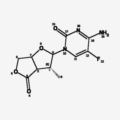 C[C@@H]1C2C(=O)OCC2OC1n1cc(F)c(N)nc1=O